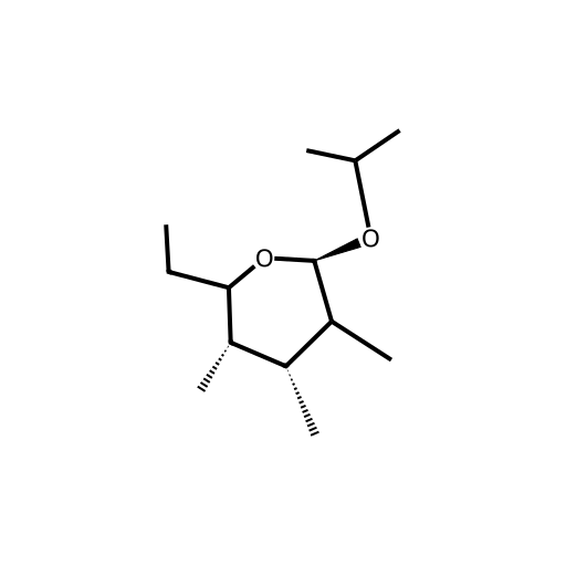 CCC1O[C@@H](OC(C)C)C(C)[C@H](C)[C@@H]1C